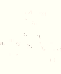 C=CC=[N+]1C(N(CO)CO)[N+](=CC=C)C(N(CO)CO)[N+](=CC=C)C1N(CO)CO